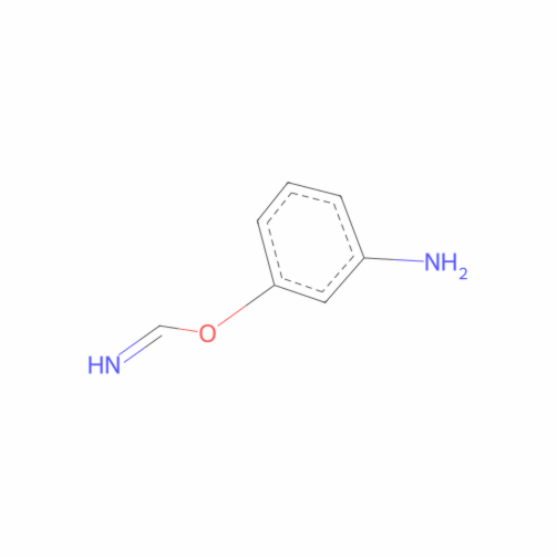 N=COc1cccc(N)c1